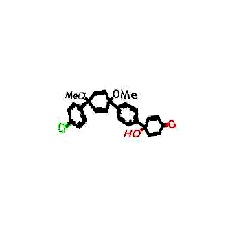 COC1(c2ccc(Cl)cc2)C=CC(OC)(c2ccc(C3(O)C=CC(=O)C=C3)cc2)C=C1